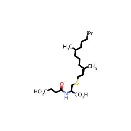 CC(=CCSCC(NC(=O)CCC(=O)O)C(=O)O)CCCC(C)CCCC(C)C